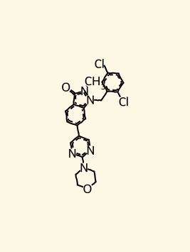 Cn1c(=O)c2ccc(-c3cnc(N4CCOCC4)nc3)cc2n1Cc1cc(Cl)ccc1Cl